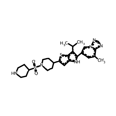 Cc1cc(-c2[nH]c3cc(C4CCN(S(=O)(=O)C5CCNCC5)CC4)sc3c2C(C)C)cn2ncnc12